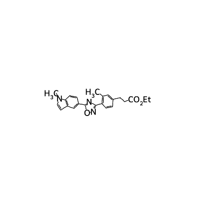 CCOC(=O)CCc1ccc(-c2noc(-c3ccc4c(ccn4C)c3)n2)c(C)c1